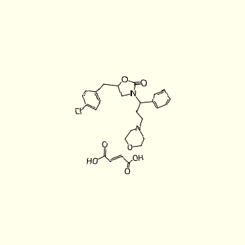 O=C(O)C=CC(=O)O.O=C1OC(Cc2ccc(Cl)cc2)CN1C(CCN1CCOCC1)c1ccccc1